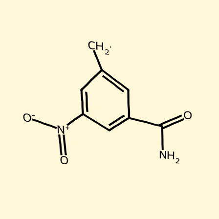 [CH2]c1cc(C(N)=O)cc([N+](=O)[O-])c1